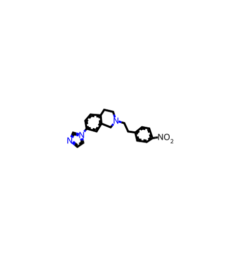 O=[N+]([O-])c1ccc(CCN2CCc3ccc(-n4ccnc4)cc3C2)cc1